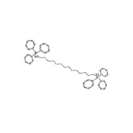 c1ccc([PH](CCCCCCCCCCCCCC[PH](c2ccccc2)(c2ccccc2)c2ccccc2)(c2ccccc2)c2ccccc2)cc1